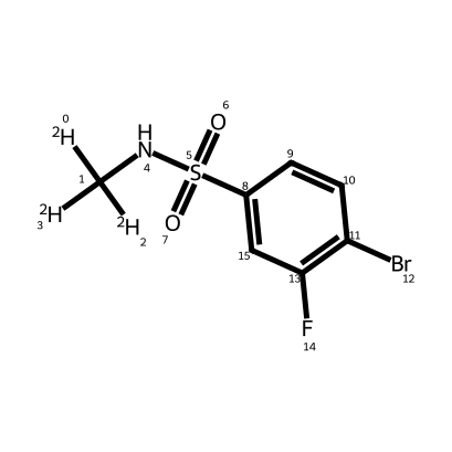 [2H]C([2H])([2H])NS(=O)(=O)c1ccc(Br)c(F)c1